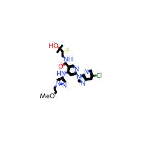 COCCn1cc(Nc2cc(-n3cnc4cc(Cl)cnc43)ncc2C(=O)NC[C@@H](F)C(C)(C)O)cn1